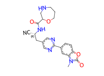 Cn1c(=O)oc2ccc(-c3ncc(C[C@H](C#N)NC(=O)C4CNCCCO4)cn3)cc21